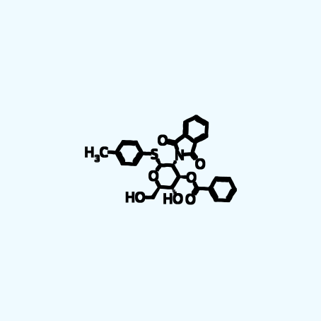 Cc1ccc(S[C@@H]2O[C@H](CO)[C@@H](O)[C@H](OC(=O)c3ccccc3)[C@H]2N2C(=O)c3ccccc3C2=O)cc1